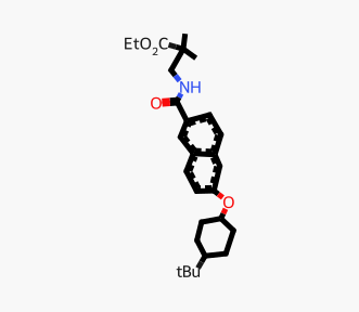 CCOC(=O)C(C)(C)CNC(=O)c1ccc2cc(OC3CCC(C(C)(C)C)CC3)ccc2c1